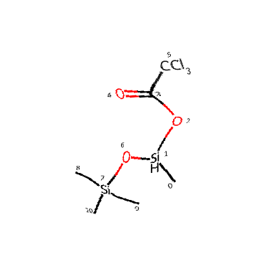 C[SiH](OC(=O)C(Cl)(Cl)Cl)O[Si](C)(C)C